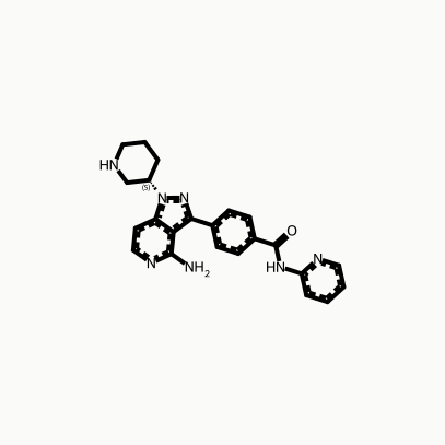 Nc1nccc2c1c(-c1ccc(C(=O)Nc3ccccn3)cc1)nn2[C@H]1CCCNC1